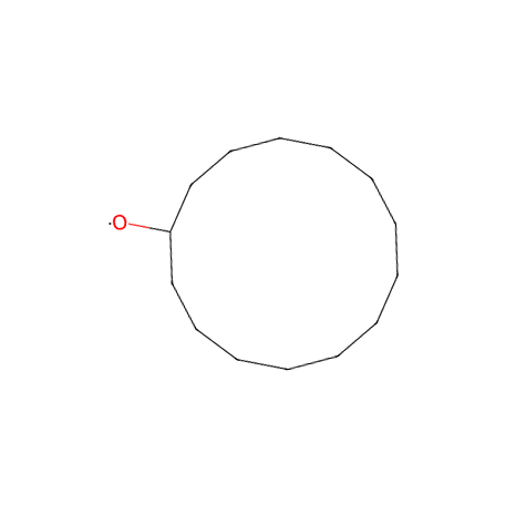 [O]C1CCCCCCCCCCCCC1